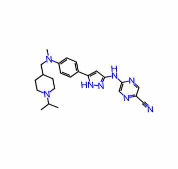 CC(C)N1CCC(CN(C)c2ccc(-c3cc(Nc4cnc(C#N)cn4)n[nH]3)cc2)CC1